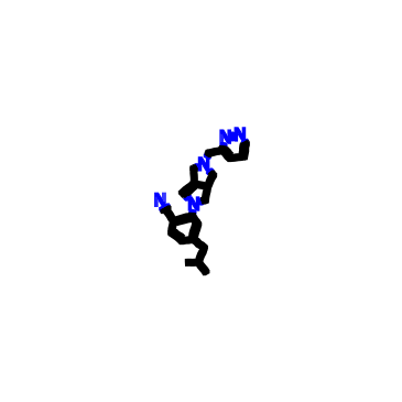 CC(C)Cc1ccc(C#N)c(N2C=C3CN(Cc4cccnn4)CC3C2)c1